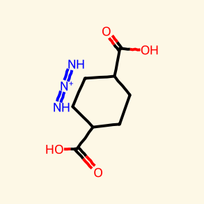 N=[N+]=N.O=C(O)C1CCC(C(=O)O)CC1